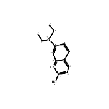 CCN(CC)c1ccc2ccc(O)nc2c1